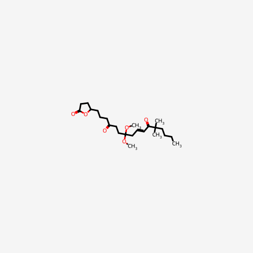 CCCCC(C)(C)C(=O)C=CCC(CCC(=O)CCCC1CCC(=O)O1)(OC)OC